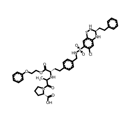 CC(N[C@@H](CCc1ccc(CNS(=O)(=O)c2cc3c(cc2Cl)N[C@H](CCc2ccccc2)NS3)cc1)C(=O)OCCOc1ccccc1)C(=O)N1CCC[C@H]1C(=O)O